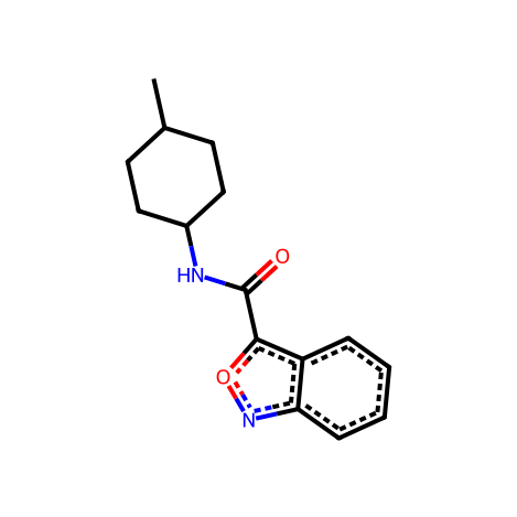 CC1CCC(NC(=O)c2onc3ccccc23)CC1